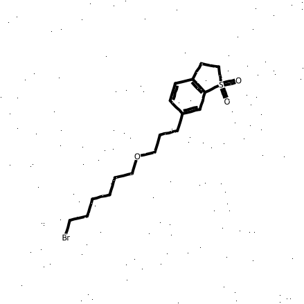 O=S1(=O)CCc2ccc(CCCOCCCCCCBr)cc21